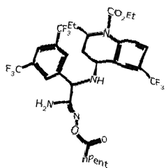 CCCCCC(=O)ON=C(N)C(N[C@H]1C[C@@H](CC)N(C(=O)OCC)c2ccc(C(F)(F)F)cc21)c1cc(C(F)(F)F)cc(C(F)(F)F)c1